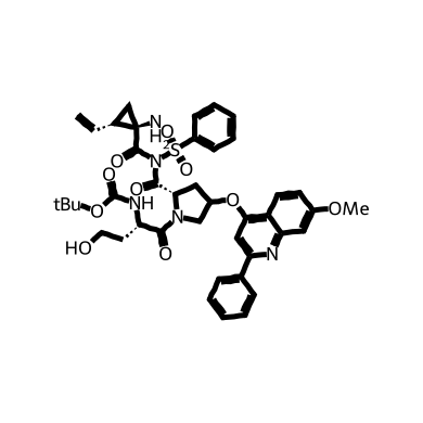 C=C[C@@H]1C[C@]1(N)C(=O)N(C(=O)[C@@H]1CC(Oc2cc(-c3ccccc3)nc3cc(OC)ccc23)CN1C(=O)[C@H](CCO)NC(=O)OC(C)(C)C)S(=O)(=O)c1ccccc1